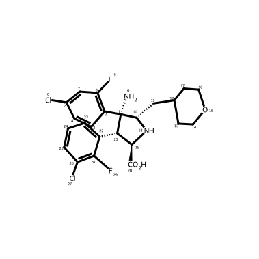 N[C@]1(c2ccc(Cl)cc2F)[C@H](CC2CCOCC2)N[C@@H](C(=O)O)[C@@H]1c1cccc(Cl)c1F